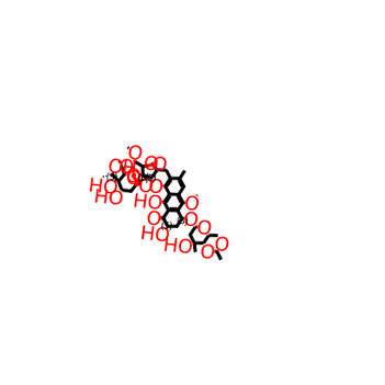 COc1c2c(c(O)c3c4c(c(C)cc13)C1OC3(C(OC)OC)OC1[C@@](OC1CC(O)C(O)([C@H](C)O)C(C)O1)(O4)[C@@]31CO1)C(=O)[C@@H](O)C[C@@H]2OC1CC(C)(O)C(OC(C)=O)C(C)O1